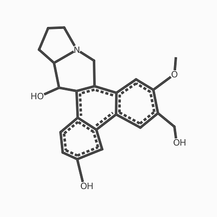 COc1cc2c3c(c4ccc(O)cc4c2cc1CO)C(O)C1CCCN1C3